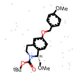 COC[C@H]1c2ccc(OCc3ccc(OC)cc3)cc2CCN1C(=O)OC(C)(C)C